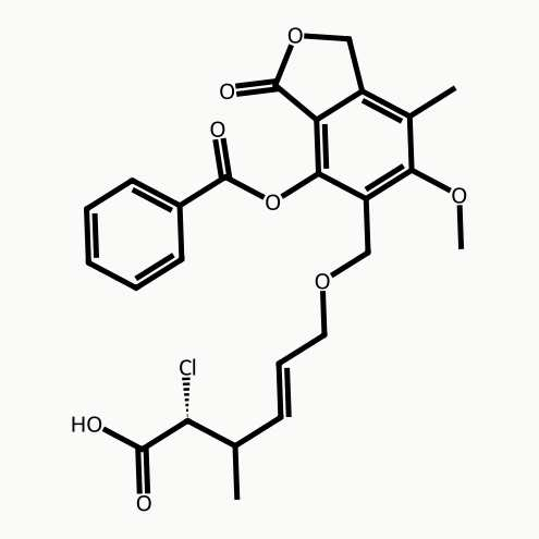 COc1c(C)c2c(c(OC(=O)c3ccccc3)c1COC/C=C/C(C)[C@@H](Cl)C(=O)O)C(=O)OC2